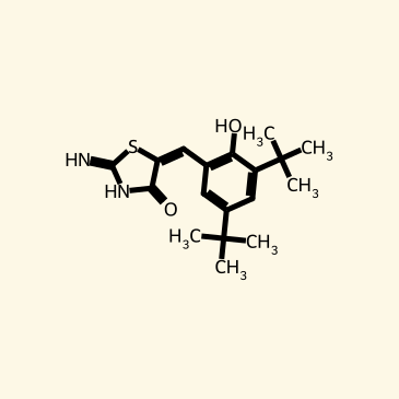 CC(C)(C)c1cc(C=C2SC(=N)NC2=O)c(O)c(C(C)(C)C)c1